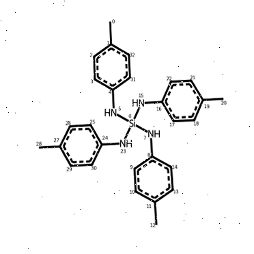 Cc1ccc(N[Si](Nc2ccc(C)cc2)(Nc2ccc(C)cc2)Nc2ccc(C)cc2)cc1